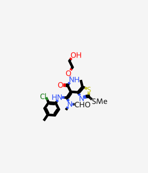 CSc1nc(/C(C(=O)NOCCO)=C(/Nc2ccc(C)cc2Cl)N(C)C=O)c(C)s1